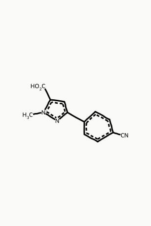 Cn1nc(-c2ccc(C#N)cc2)cc1C(=O)O